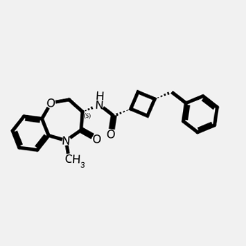 CN1C(=O)[C@@H](NC(=O)[C@H]2C[C@@H](Cc3ccccc3)C2)COc2ccccc21